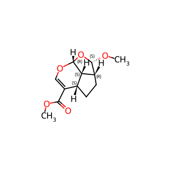 COC(=O)C1=CO[C@@H]2O[C@H](OC)[C@@H]3CC[C@H]1[C@H]23